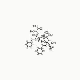 C=O.O=C(O)C(O)CC(O)(CCc1ccccc1)C(=O)O.O=C(O)C(O)CC(O)(CCc1ccccc1)C(=O)O